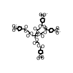 O=C(COC(=O)c1ccc([N+](=O)[O-])cc1)OCC(COC(=O)COC(=O)c1ccc([N+](=O)[O-])cc1)(COC(=O)COC(=O)c1ccc([N+](=O)[O-])cc1)COC(=O)COC(=O)c1ccc([N+](=O)[O-])cc1